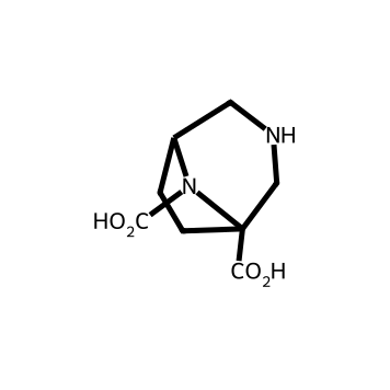 O=C(O)N1C2CCC1(C(=O)O)CNC2